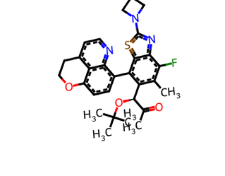 CC(=O)[C@@H](OC(C)(C)C)c1c(C)c(F)c2nc(N3CCC3)sc2c1-c1ccc2c3c(ccnc13)CCO2